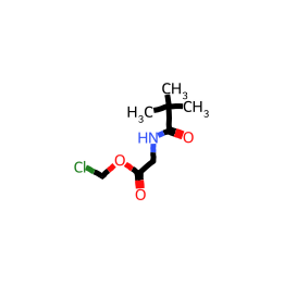 CC(C)(C)C(=O)NCC(=O)OCCl